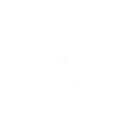 C[Si](C)(C)c1occc1C=O